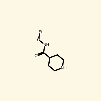 CCONC(=O)C1CCNCC1